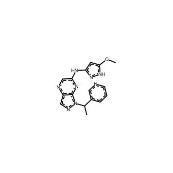 COc1cc(Nc2cnc3cnn(C(C)c4cccnc4)c3n2)n[nH]1